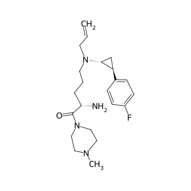 C=CCN(CCC[C@H](N)C(=O)N1CCN(C)CC1)[C@@H]1C[C@H]1c1ccc(F)cc1